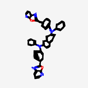 c1ccc(N(c2ccc(-c3nc4cccnc4o3)cc2)c2ccc3ccc(N(c4ccccc4)c4ccc(-c5nc6cccnc6o5)cc4)cc3c2)cc1